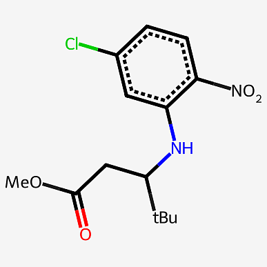 COC(=O)CC(Nc1cc(Cl)ccc1[N+](=O)[O-])C(C)(C)C